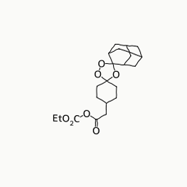 CCOC(=O)OC(=O)CC1CCC2(CC1)OOC1(O2)C2CC3CC(C2)CC1C3